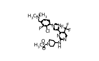 CN(C)Cc1ccc(-n2cnc(-c3nc(NC4CCN(S(C)(=O)=O)CC4)ncc3C(F)(F)F)c2)c(Cl)c1F